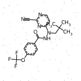 CC(C)(C)CN(NC(=O)c1ccc(OC(F)(F)F)cc1)c1ccnc(C#N)n1